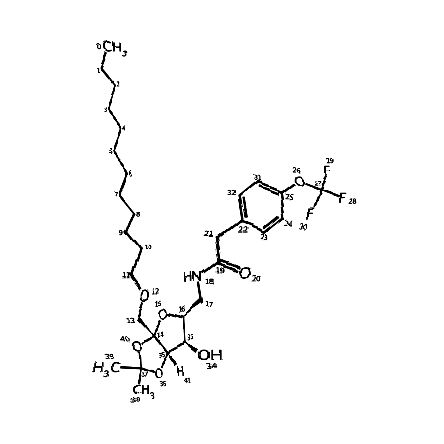 CCCCCCCCCCCCOC[C@@]12O[C@@H](CNC(=O)Cc3ccc(OC(F)(F)F)cc3)[C@@H](O)[C@@H]1OC(C)(C)O2